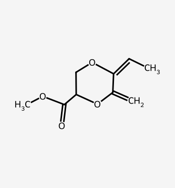 C=C1OC(C(=O)OC)CO/C1=C/C